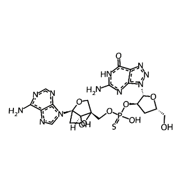 Nc1nc2c(nnn2[C@@H]2O[C@H](CO)C[C@H]2OP(O)(=S)OC[C@@]23CO[C@@](n4cnc5c(N)ncnc54)(CO2)[C@@H]3O)c(=O)[nH]1